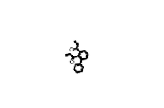 C=CC(=O)c1cccc(-c2ccccc2)c1C(=O)C=C